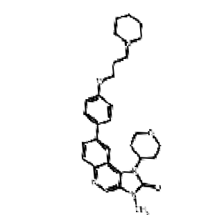 Cn1c(=O)n(C2CCOCC2)c2c3cc(-c4ccc(OCCCN5CCCCC5)cc4)ccc3ncc21